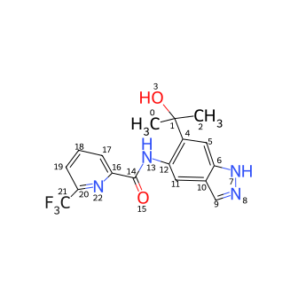 CC(C)(O)c1cc2[nH]ncc2cc1NC(=O)c1cccc(C(F)(F)F)n1